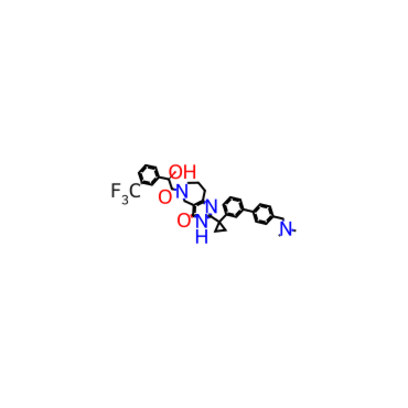 CN(C)Cc1ccc(-c2cccc(C3(c4nc5c(c(=O)[nH]4)CN(C(=O)[C@H](O)c4cccc(C(F)(F)F)c4)CCC5)CC3)c2)cc1